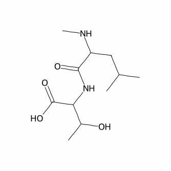 CNC(CC(C)C)C(=O)NC(C(=O)O)C(C)O